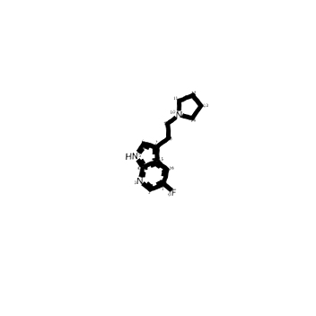 Fc1cnc2[nH]cc(CCN3CCCC3)c2c1